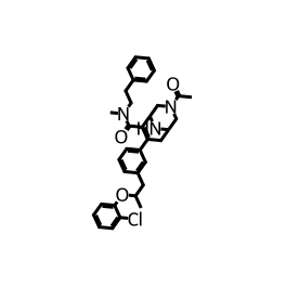 CC(=O)N1CC2CC(c3cccc(CC(C)Oc4ccccc4Cl)c3)=C(C(=O)N(C)CCc3ccccc3)C(C1)N2